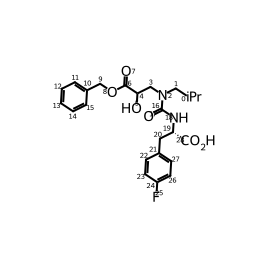 CC(C)CN(CC(O)C(=O)OCc1ccccc1)C(=O)N[C@@H](Cc1ccc(F)cc1)C(=O)O